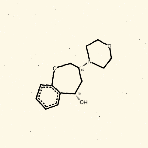 O[C@H]1C[C@@H](N2CCOCC2)COc2ccccc21